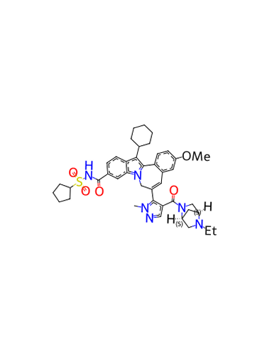 CCN1C[C@@H]2C[C@H]1CN2C(=O)c1cnn(C)c1C1=Cc2cc(OC)ccc2-c2c(C3CCCCC3)c3ccc(C(=O)NS(=O)(=O)C4CCCC4)cc3n2C1